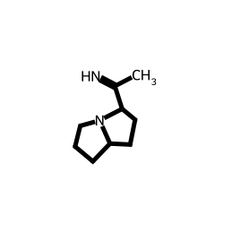 CC(=N)C1CCC2CCCN21